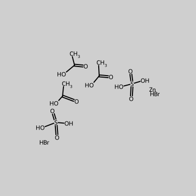 Br.Br.CC(=O)O.CC(=O)O.CC(=O)O.O=S(=O)(O)O.O=S(=O)(O)O.[Zn]